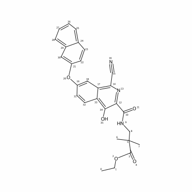 CCOC(=O)C(C)(C)CNC(=O)c1nc(C#N)c2cc(Oc3ccc4ccccc4c3)ccc2c1O